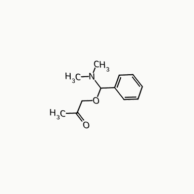 CC(=O)COC(c1ccccc1)N(C)C